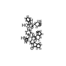 O=C(N[C@](O)(CCN1CCN(Cc2cnc[nH]2)[C@@H](CN(CCCCN2C(=O)c3ccccc3C2=O)[C@H]2CCCc3cccnc32)C1)c1ccccc1)C1CCC(F)(F)CC1